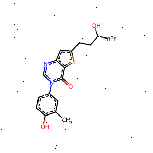 CCCC(O)CCc1cc2ncn(-c3ccc(O)c(C)c3)c(=O)c2s1